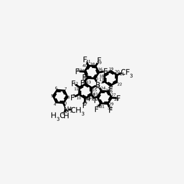 C[NH+](C)c1ccccc1.Fc1c(F)c(F)c([B-](c2ccc(C(F)(F)F)cc2)(c2c(F)c(F)c(F)c(F)c2F)c2c(F)c(F)c(F)c(F)c2F)c(F)c1F